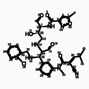 Cc1cc(C(=O)N[C@H](C=O)[C@@H](O)CNC(C=O)[C@H](NCc2ccccc2Cl)c2cccc(N(C)C(=O)C(C#N)=CC(C)C)c2)no1